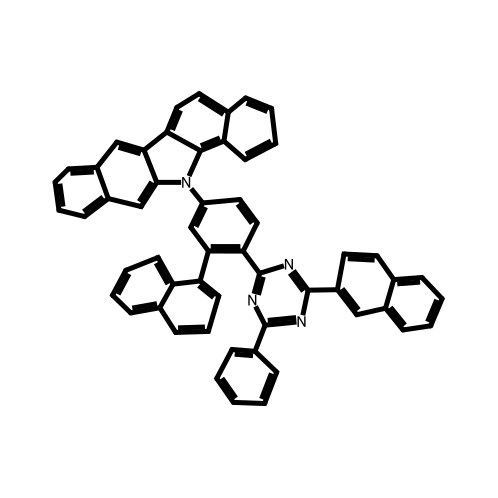 c1ccc(-c2nc(-c3ccc4ccccc4c3)nc(-c3ccc(-n4c5cc6ccccc6cc5c5ccc6ccccc6c54)cc3-c3cccc4ccccc34)n2)cc1